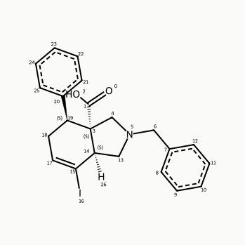 O=C(O)[C@]12CN(Cc3ccccc3)C[C@H]1C(I)=CC[C@H]2c1ccccc1